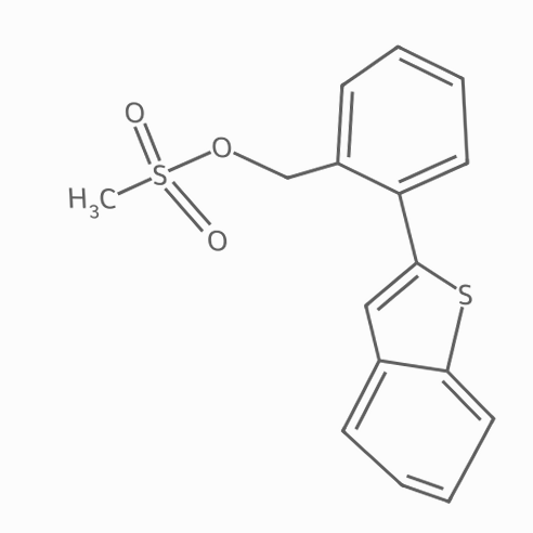 CS(=O)(=O)OCc1ccccc1-c1cc2ccccc2s1